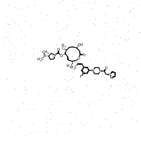 C/C(=C\c1cc(F)cc(N2CCN(C(=O)Cn3cccn3)CC2)c1)[C@H]1OC(=O)C[C@H](O)CC[C@H](C)[C@@H](OC(=O)N2CC[C@H](N(C)C)C2)/C=C/[C@@H]1C